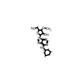 COC1C(CO)OC(n2cnc3c(NC4CCCCC4)ncnc32)C1O